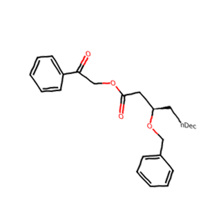 CCCCCCCCCCC[C@H](CC(=O)OCC(=O)c1ccccc1)OCc1ccccc1